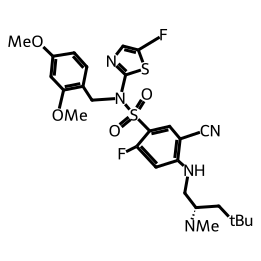 CN[C@H](CNc1cc(F)c(S(=O)(=O)N(Cc2ccc(OC)cc2OC)c2ncc(F)s2)cc1C#N)CC(C)(C)C